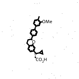 COc1cc(-c2ccc(C3CCc4ccc([C@@H](CC(=O)O)C5CC5)cc4O3)cc2)ccc1C